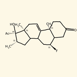 CC(=O)[C@@]1(O)[C@@H](C)CC2C3C[C@H](F)C4CC(=O)CC[C@]4(C)C3=CC[C@@]21C